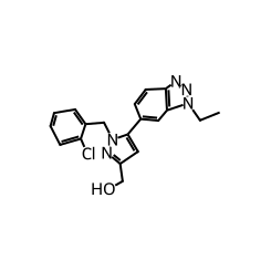 CCn1nnc2ccc(-c3cc(CO)nn3Cc3ccccc3Cl)cc21